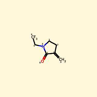 C=C1CCN(CC(F)(F)F)C1=O